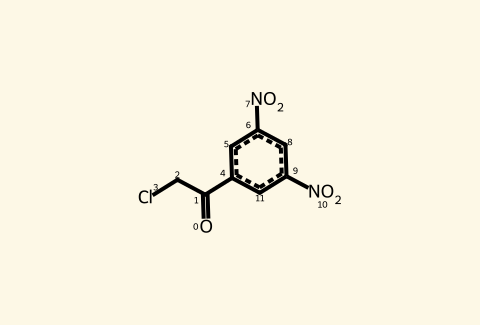 O=C(CCl)c1cc([N+](=O)[O-])cc([N+](=O)[O-])c1